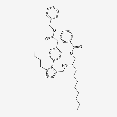 CCCCCCCCC(COC(=O)c1ccccc1)NCc1cnc(CCCC)n1-c1ccc(CC(=O)OCc2ccccc2)cc1